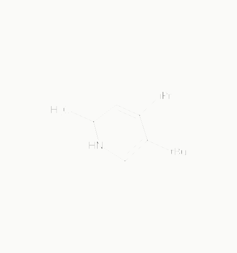 CC1C=C(C(C)C)C(C(C)(C)C)=CN1